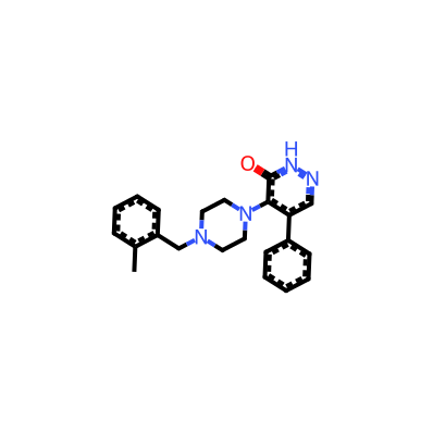 Cc1ccccc1CN1CCN(c2c(-c3ccccc3)cn[nH]c2=O)CC1